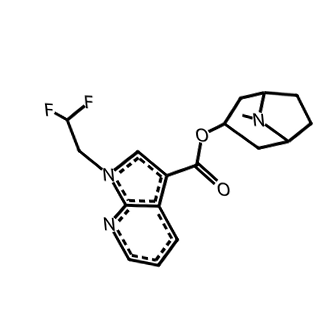 CN1C2CCC1CC(OC(=O)c1cn(CC(F)F)c3ncccc13)C2